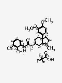 COc1ccc(C23CCC(NC(=O)Nc4cccc(Cl)c4C)CC2N(C)CC3)cc1OC.O=C(O)C(F)(F)F